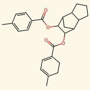 CC1=CC=C(C(=O)OC2C3CC(C4CCCC43)C2OC(=O)c2ccc(C)cc2)CC1